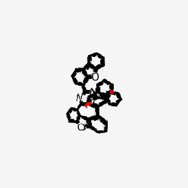 c1ccc(-c2nc(-c3cccc4c3oc3ccccc34)nc(-c3cccc4oc5cccc(-c6ccc7ccccc7c6)c5c34)n2)cc1